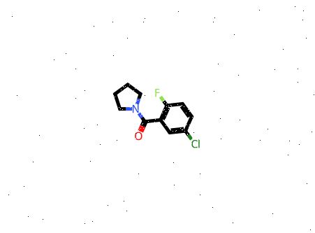 O=C(c1cc(Cl)ccc1F)N1CCCC1